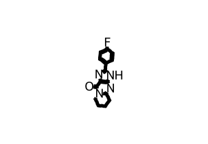 O=c1c2nc(-c3ccc(F)cc3)[nH]c2nc2n1CCCC2